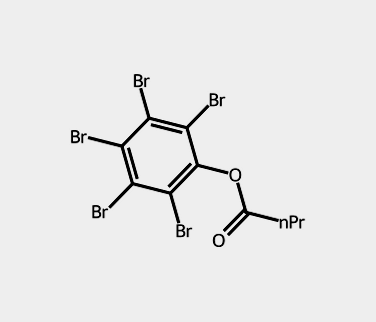 CCCC(=O)Oc1c(Br)c(Br)c(Br)c(Br)c1Br